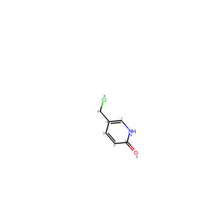 O=c1[c]cc(CCl)c[nH]1